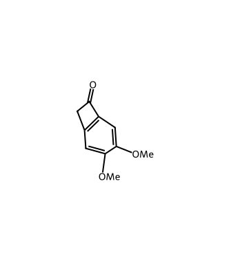 COc1cc2c(cc1OC)C(=O)C2